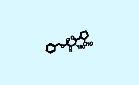 CC(C)(C)[C@H](NC(=O)OCc1ccccc1)C(=O)N1CCC[C@H]1C=O